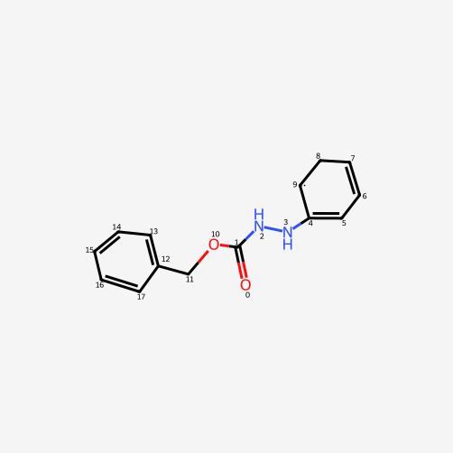 O=C(NNC1=CC=CC[CH]1)OCc1ccccc1